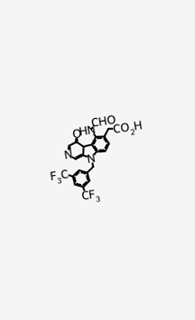 O=CNc1c(CC(=O)O)ccc2c1C1C(=O)C=NC=C1N2Cc1cc(C(F)(F)F)cc(C(F)(F)F)c1